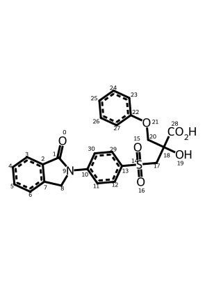 O=C1c2ccccc2CN1c1ccc(S(=O)(=O)CC(O)(COc2ccccc2)C(=O)O)cc1